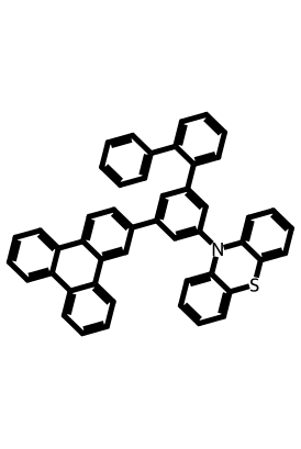 c1ccc(-c2ccccc2-c2cc(-c3ccc4c5ccccc5c5ccccc5c4c3)cc(N3c4ccccc4Sc4ccccc43)c2)cc1